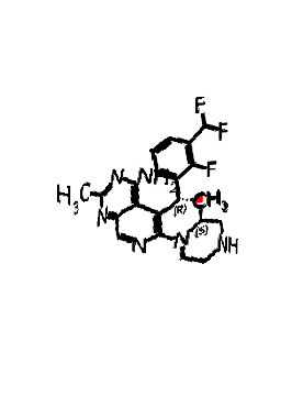 Cc1nc(N)c2c([C@@H](C)c3cccc(C(F)F)c3F)c(N3CCNC[C@@H]3C)ncc2n1